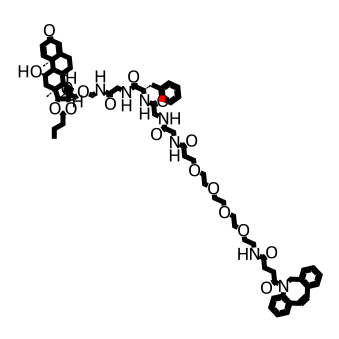 CCCC1O[C@@H]2CC3[C@@H]4CCC5=CC(=O)C=C[C@]5(C)C4[C@@H](O)C[C@]3(C)[C@]2(C(=O)COCNC(=O)CNC(=O)[C@H](Cc2ccccc2)NC(=O)CNC(=O)CNC(=O)CCOCCOCCOCCOCCNC(=O)CCC(=O)N2Cc3ccccc3C#Cc3ccccc32)O1